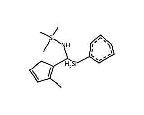 CC1=C(C(N[Si](C)(C)C)[SiH2]c2ccccc2)CC=C1